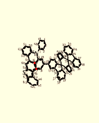 c1ccc(N(c2cccc(-c3ccc4c(c3)-c3ccccc3C43c4ccccc4C4(c5ccccc5-c5ccccc54)c4ccccc43)c2)c2ccccc2-c2ccc3c(c2)sc2ccccc23)cc1